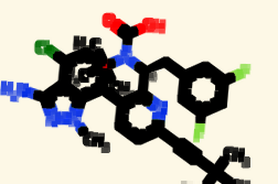 Cn1nc(N)c2c(Cl)ccc(-c3ccc(C#CC(C)(C)C)nc3[C@H](Cc3cc(F)cc(F)c3)N(C(=O)O)C(C)(C)C)c21